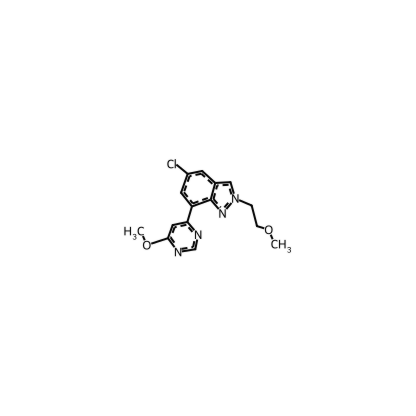 COCCn1cc2cc(Cl)cc(-c3cc(OC)ncn3)c2n1